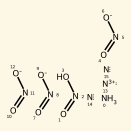 N.O=NO.O=N[O-].O=N[O-].O=N[O-].[N+3].[N].[N]